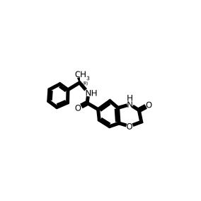 C[C@@H](NC(=O)c1ccc2c(c1)NC(=O)CO2)c1ccccc1